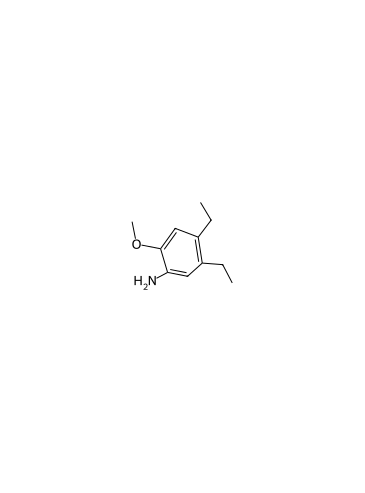 CCc1cc(N)c(OC)cc1CC